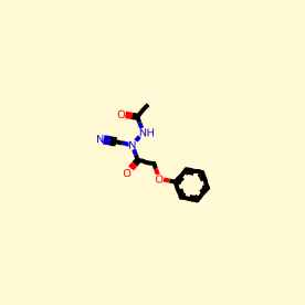 CC(=O)NN(C#N)C(=O)COc1ccccc1